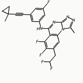 Cc1nnc2nc(Nc3cc(F)cc(C#CC4(C)CC4)c3)c3c(F)c(F)c(CC(F)F)cc3n12